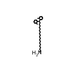 Cc1ccccc1C(CCCCCCCCCCCCCCCCCCCN)c1ccccc1C